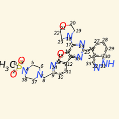 CS(=O)(=O)N1CCN(Cc2ccc3c(n2)oc2c(N4CCOCC4)nc(-c4cccc5[nH]ncc45)nc23)CC1